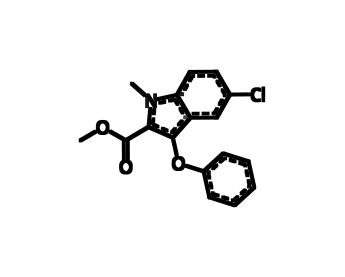 COC(=O)c1c(Oc2ccccc2)c2cc(Cl)ccc2n1C